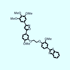 COc1cc(-c2nc3ccccc3s2)ccc1OCCOc1cc(-c2cc(-c3cc(OC)c(OC)c(OC)c3)no2)ccc1OC